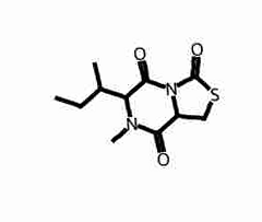 CCC(C)C1C(=O)N2C(=O)SCC2C(=O)N1C